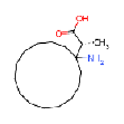 C[C@@H](C(=O)O)C1(N)CCCCCCCCCCCCC1